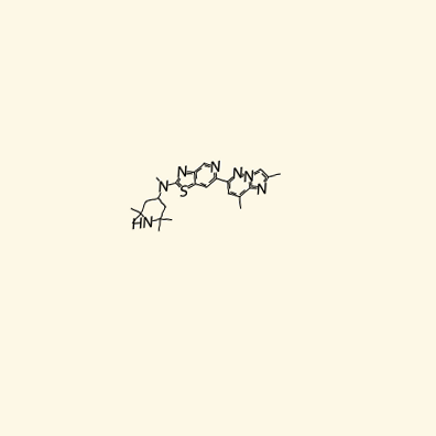 Cc1cn2nc(-c3cc4sc(N(C)C5CC(C)(C)NC(C)(C)C5)nc4cn3)cc(C)c2n1